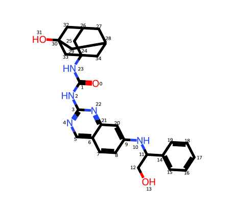 O=C(Nc1ncc2ccc(NC(CO)c3ccccc3)cc2n1)NC12CC3CC(CC(O)(C3)C1)C2